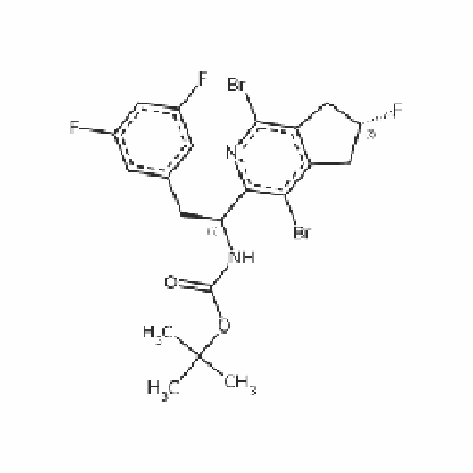 CC(C)(C)OC(=O)N[C@@H](Cc1cc(F)cc(F)c1)c1nc(Br)c2c(c1Br)C[C@@H](F)C2